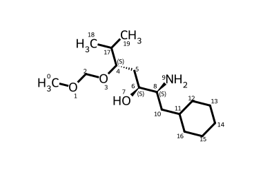 COCO[C@@H](C[C@H](O)[C@@H](N)CC1CCCCC1)C(C)C